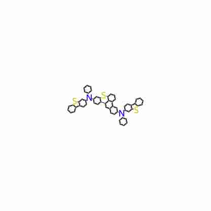 c1ccc(N(c2ccc3c(c2)Sc2cccc4c2c-3cc2ccc(N(c3ccccc3)c3ccc5c(c3)sc3ccccc35)cc24)c2ccc3c(c2)sc2ccccc23)cc1